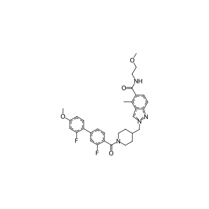 COCCNC(=O)c1ccc2nn(CC3CCN(C(=O)c4ccc(-c5ccc(OC)cc5F)cc4F)CC3)cc2c1C